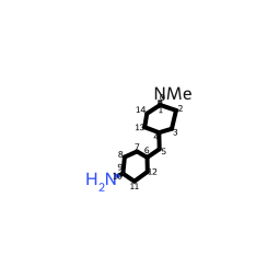 CNC1CCC(CC2CCC(N)CC2)CC1